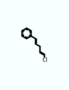 ClC=CCC=Cc1ccccc1